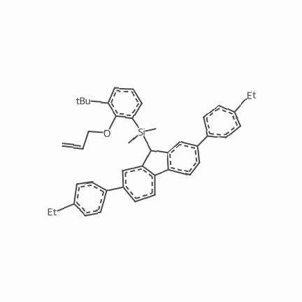 C=CCOc1c(C(C)(C)C)cccc1[Si](C)(C)C1c2cc(-c3ccc(CC)cc3)ccc2-c2ccc(-c3ccc(CC)cc3)cc21